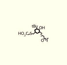 CN(C)C(=O)CSCc1cc(CSCC(=O)O)cc(C(C)(C)C)c1O